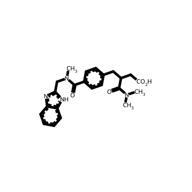 CN(C)C(=O)C(CC(=O)O)Cc1ccc(C(=O)N(C)Cc2nc3ccccc3[nH]2)cc1